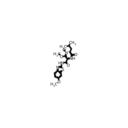 COc1ccc2nc(NC(=O)c3[nH]c(=O)c(CC(C)C)[n+]([O-])c3OC)sc2c1